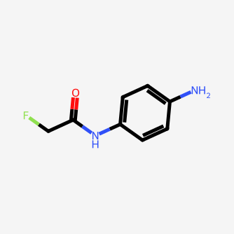 Nc1ccc(NC(=O)CF)cc1